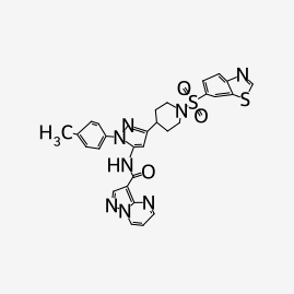 Cc1ccc(-n2nc(C3CCN(S(=O)(=O)c4ccc5ncsc5c4)CC3)cc2NC(=O)c2cnn3cccnc23)cc1